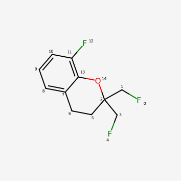 FCC1(CF)CCc2cccc(F)c2O1